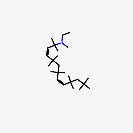 CCN(C)C(C)(C)/C=C\C(C)(C)CC(C)(C)/C=C\C(C)(C)CC(C)(C)C